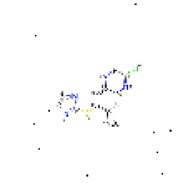 O=[N+]([O-])c1cc2nc(Cl)cnc2cc1Sc1ncc[nH]1